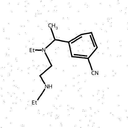 CCNCCN(CC)C(C)c1cccc(C#N)c1